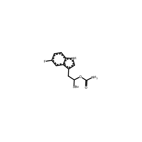 CCCCC(Cc1c[nH]c2ccc(F)cc12)OC(N)=O